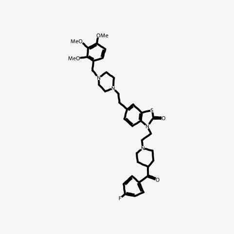 COc1ccc(CN2CCN(CCc3ccc4c(c3)sc(=O)n4CCN3CCC(C(=O)c4ccc(F)cc4)CC3)CC2)c(OC)c1OC